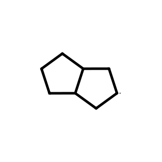 [CH]1CC2CCCC2C1